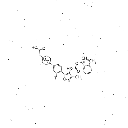 Cc1ccccc1[C@@H](C)OC(=O)Nc1c(C)noc1-c1ccc(C23CCC(CC(=O)O)(CC2)OC3)cc1F